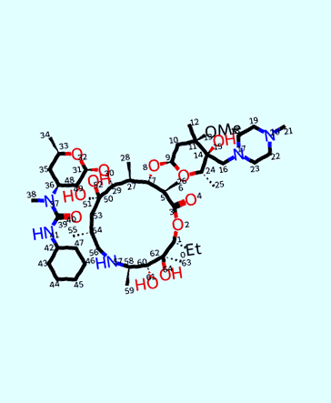 CC[C@H]1OC(=O)[C@H](C)[C@@H](O[C@H]2C[C@@](C)(OC)[C@](O)(CN3CCN(C)CC3)[C@H](C)O2)[C@H](C)[C@@H](O[C@@H]2O[C@H](C)C[C@H](N(C)C(=O)NC3CCCCC3)[C@H]2O)[C@](C)(O)C[C@@H](C)CN[C@H](C)[C@@H](O)[C@]1(C)O